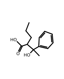 CCCC(C(=O)O)C(C)(O)c1ccccc1